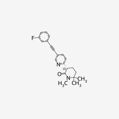 CN1C(=O)[C@H](c2ccc(C#Cc3cccc(F)c3)cn2)CCC1(C)C